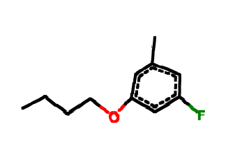 CCCCOc1cc(C)cc(F)c1